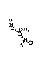 COc1cc(COc2nn(-c3ccccc3)cc2C=O)ccc1OCc1csc(N2CCOCC2)n1